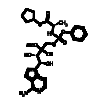 COC(C#N)(COP(=O)(N[C@@H](C)C(=O)OC1CCCC1)Oc1ccccc1)[C@@H](O)[C@@H](O)c1ccc2c(N)ncnn12